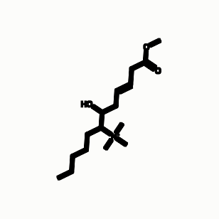 CCCCCC(C(O)C/C=C/CC(=O)OC)[N+](C)(C)C